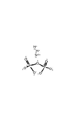 O=P([O-])([O-])OP(=O)([O-])[O-].[H+].[H+].[Sr+2]